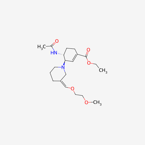 CCOC(=O)C1=C[C@@H](N2CCC/C(=C/OCCOC)C2)[C@H](NC(C)=O)CC1